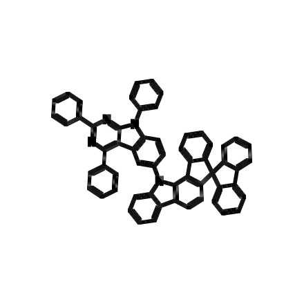 c1ccc(-c2nc(-c3ccccc3)c3c4cc(-n5c6ccccc6c6ccc7c(c65)-c5ccccc5C75c6ccccc6-c6ccccc65)ccc4n(-c4ccccc4)c3n2)cc1